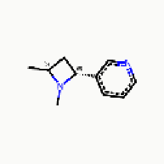 C[C@H]1C[C@H](c2cccnc2)N1C